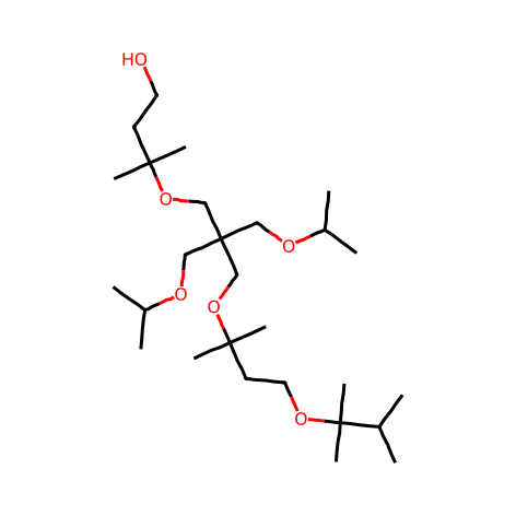 CC(C)OCC(COC(C)C)(COC(C)(C)CCO)COC(C)(C)CCOC(C)(C)C(C)C